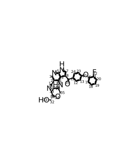 N#Cc1cnc2[nH]cc(C(=O)c3ccc(Oc4ccccc4F)cc3)c2c1N[C@@H]1CC[C@@H](CO)OC1